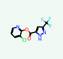 O=C(Oc1ncccc1Cl)c1cc(C(F)(F)F)n[nH]1